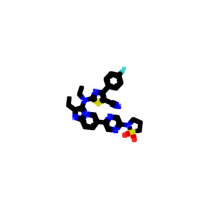 CCc1nc2ccc(-c3cnc(N4CCCS4(=O)=O)cn3)cn2c1N(CC)c1nc(-c2ccc(F)cc2)c(C#N)s1